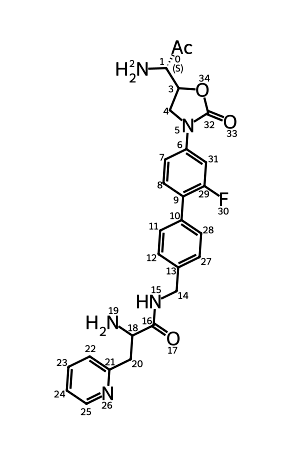 CC(=O)[C@@H](N)C1CN(c2ccc(-c3ccc(CNC(=O)C(N)Cc4ccccn4)cc3)c(F)c2)C(=O)O1